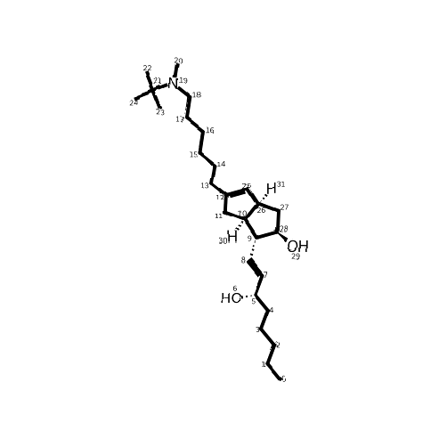 CCCCC[C@H](O)/C=C/[C@@H]1[C@H]2CC(CCCCCCN(C)C(C)(C)C)=C[C@H]2C[C@H]1O